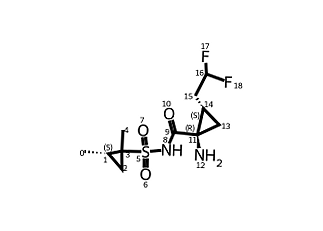 C[C@H]1CC1(C)S(=O)(=O)NC(=O)[C@@]1(N)C[C@H]1CC(F)F